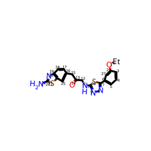 CCOc1cccc(-c2nnc(NCC(=O)Cc3ccc4nc(N)sc4c3)s2)c1